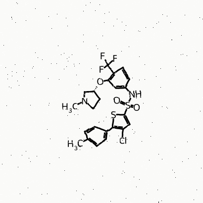 Cc1ccc(-c2sc(S(=O)(=O)Nc3ccc(C(F)(F)F)c(O[C@@H]4CCN(C)C4)c3)cc2Cl)cc1